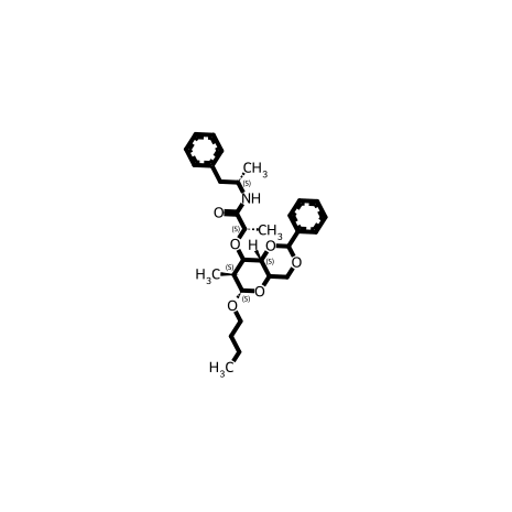 CCCCO[C@H]1OC2COC(c3ccccc3)O[C@H]2C(O[C@@H](C)C(=O)N[C@@H](C)Cc2ccccc2)[C@@H]1C